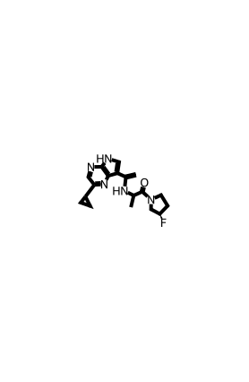 C=C(NC(C)C(=O)N1CC[C@H](F)C1)c1c[nH]c2ncc(C3CC3)nc12